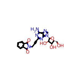 Nc1nc(C#CCN2C(=O)c3ccccc3C2=O)nc2c1ncn2[C@@H]1O[C@H](CO)[C@@H](O)[C@H]1O